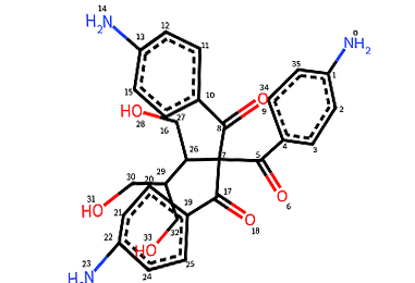 Nc1ccc(C(=O)C(C(=O)c2ccc(N)cc2)(C(=O)c2ccc(N)cc2)C(CO)C(CO)CO)cc1